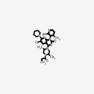 C=CC(=O)N1CC(C)N(c2nc(=O)n(-c3c(C)ccnc3C(C)C)c3nc(N4CCCCC4)c(Cl)cc23)CC1C